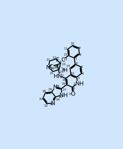 O=c1[nH]c2ccc(-c3ccccc3C(F)(F)F)cc2c(N[C@H]2CN3CCC2CC3)c1-c1nc2cccnc2[nH]1